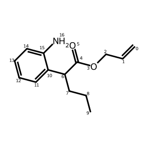 C=CCOC(=O)C(CCC)c1ccccc1N